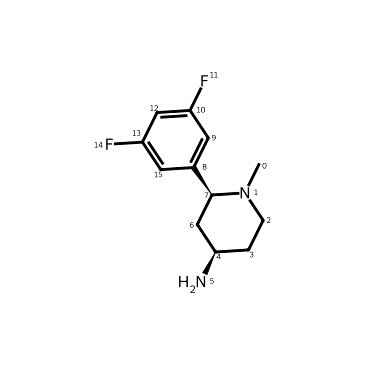 CN1CC[C@@H](N)C[C@H]1c1cc(F)cc(F)c1